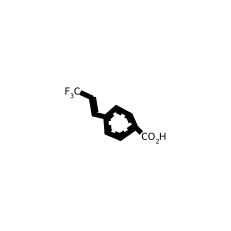 O=C(O)c1ccc(/C=C/C(F)(F)F)cc1